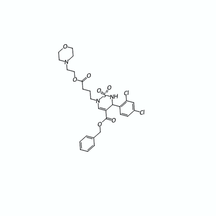 O=C(CCCN1C=C(C(=O)OCc2ccccc2)C(c2ccc(Cl)cc2Cl)NS1(=O)=O)OCCN1CCOCC1